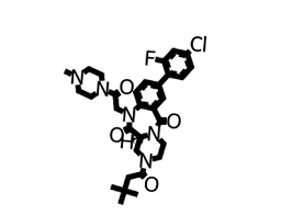 CN1CCN(C(=O)CN2C(=O)[C@@H]3CN(C(=O)CC(C)(C)C)CCN3C(=O)c3cc(-c4ccc(Cl)cc4F)ccc32)CC1